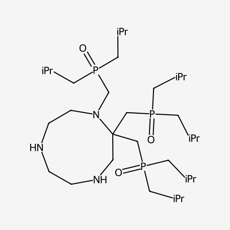 CC(C)CP(=O)(CC(C)C)CN1CCNCCNCC1(CP(=O)(CC(C)C)CC(C)C)CP(=O)(CC(C)C)CC(C)C